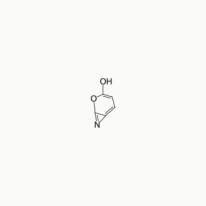 OC1=CC=C2N=C2O1